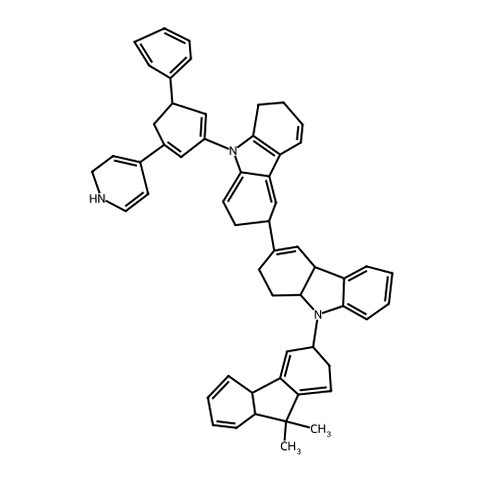 CC1(C)C2=CCC(N3c4ccccc4C4C=C(C5C=c6c7c(n(C8=CC(c9ccccc9)CC(C9=CCNC=C9)=C8)c6=CC5)CCC=C7)CCC43)C=C2C2C=CC=CC21